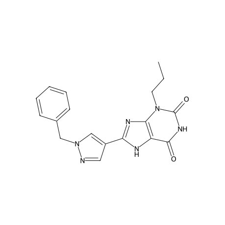 CCCn1c(=O)[nH]c(=O)c2[nH]c(-c3cnn(Cc4ccccc4)c3)nc21